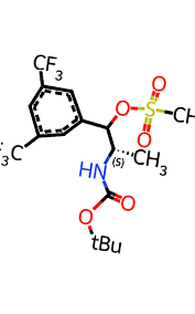 C[C@H](NC(=O)OC(C)(C)C)C(OS(C)(=O)=O)c1cc(C(F)(F)F)cc(C(F)(F)F)c1